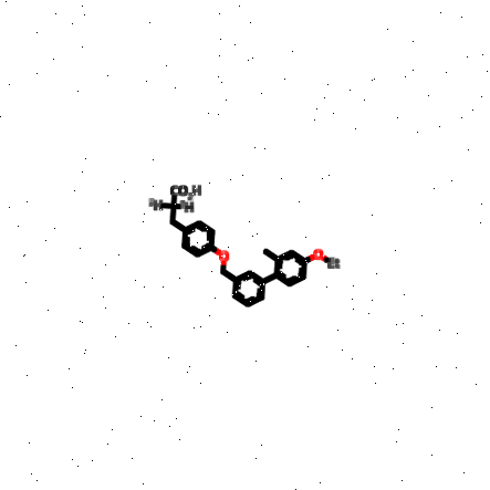 [2H]C([2H])(Cc1ccc(OCc2cccc(-c3ccc(OCC)cc3C)c2)cc1)C(=O)O